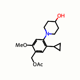 COc1cc(N2CCC(O)CC2)c(C2CC2)cc1COC(C)=O